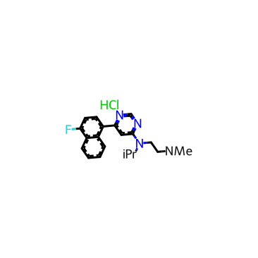 CNCCN(c1cc(-c2ccc(F)c3ccccc23)ncn1)C(C)C.Cl